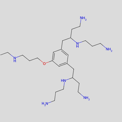 CC(C)CNCCCOc1cc(CC(CCN)NCCCN)cc(CC(CCN)NCCCN)c1